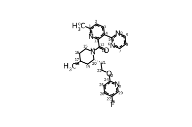 Cc1ccc(-c2ncccn2)c(C(=O)N2CC[C@H](C)C[C@H]2CCOc2ccc(F)cn2)n1